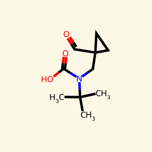 CC(C)(C)N(CC1(C=O)CC1)C(=O)O